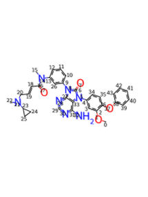 COc1cc(-n2c(=O)n(-c3cccc(N(C)C(=O)C=CCN(C)C4CC4)c3)c3ncnc(N)c32)ccc1Oc1ccccc1